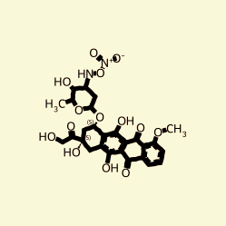 COc1cccc2c1C(=O)c1c(O)c3c(c(O)c1C2=O)C[C@@](O)(C(=O)CO)C[C@@H]3OC1CC(NO[N+](=O)[O-])C(O)C(C)O1